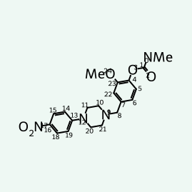 CNC(=O)Oc1ccc(CN2CCN(c3ccc([N+](=O)[O-])cc3)CC2)cc1OC